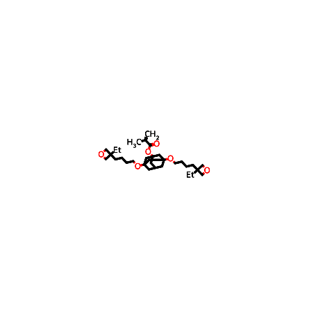 C=C(C)C(=O)OC12CC3CC(OCCCCC4(CC)COC4)(CC(OCCCCC4(CC)COC4)(C3)C1)C2